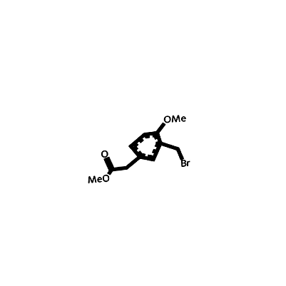 COC(=O)Cc1ccc(OC)c(CBr)c1